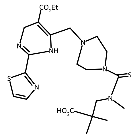 CCOC(=O)C1=C(CN2CCN(C(=S)N(C)CC(C)(C)C(=O)O)CC2)NC(c2nccs2)=NC1